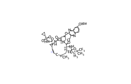 CC[C@@H]1C[C@H](C)CC/C=C\C2C[C@@]2(C(=O)NS(=O)(=O)C2CC2)NC(=O)[C@@H]2C[C@@H](Oc3nc4cc(OC)ccc4nc3Cl)CN2C(=O)[C@H]1NC(=O)OC(C)(C)C(F)(F)F